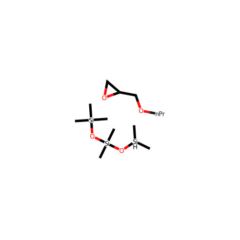 CCCOCC1CO1.C[SiH](C)O[Si](C)(C)O[Si](C)(C)C